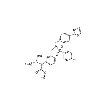 CC(C)(C)OC(=O)N(c1cccc(CN(Cc2ccc(-c3nccs3)cc2)S(=O)(=O)c2ccc(F)cc2)n1)C(C(=O)O)C(C)(C)C